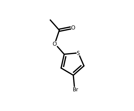 CC(=O)Oc1cc(Br)cs1